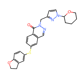 O=c1c2ccc(Sc3ccc4c(c3)CCO4)cc2cnn1Cc1ccn(C2CCCCO2)n1